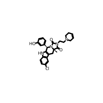 C[C@@]12Cc3c([nH]c4ccc(Cl)cc34)[C@@H](c3cccc(O)c3)N1C(=O)N(CCN1CC=CCC1)C2=O